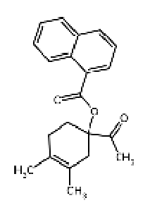 CC(=O)C1(OC(=O)c2cccc3ccccc23)CCC(C)=C(C)C1